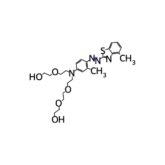 Cc1cc(N(CCOCCO)CCOCCOCCO)ccc1/N=N/c1nc2c(C)cccc2s1